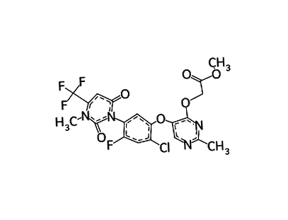 COC(=O)COc1nc(C)ncc1Oc1cc(-n2c(=O)cc(C(F)(F)F)n(C)c2=O)c(F)cc1Cl